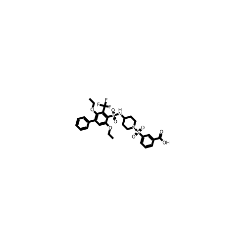 CCOc1cc(-c2ccccc2)c(OCC)c(C(F)(F)F)c1S(=O)(=O)NC1CCN(S(=O)(=O)c2cccc(C(=O)O)c2)CC1